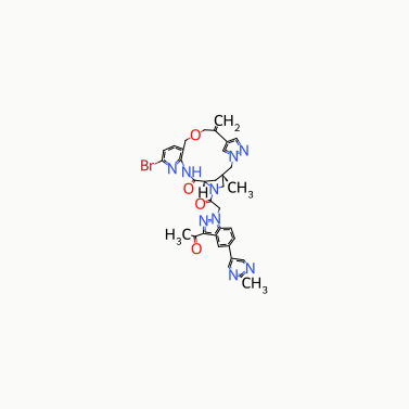 C=C1COCc2ccc(Br)nc2NC(=O)[C@@H]2C[C@@](C)(CN2C(=O)Cn2nc(C(C)=O)c3cc(-c4cnc(C)nc4)ccc32)Cn2cc1cn2